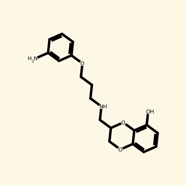 Nc1cccc(OCCCNCC2COc3cccc(O)c3O2)c1